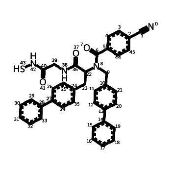 N#Cc1ccc(C(=O)N(Cc2ccc(-c3ccccc3)cc2)C(Cc2ccc(-c3ccccc3)cc2)C(=O)NCC(=O)NS)cc1